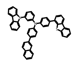 c1cc(N(c2ccc(-c3ccc4ccccc4c3)cc2)c2ccc(-c3cccc4c3sc3ccccc34)cc2)cc(-n2c3ccccc3c3ccccc32)c1